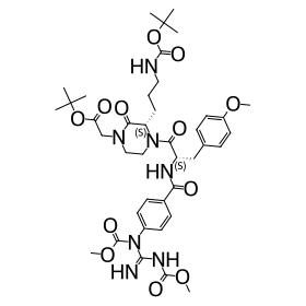 COC(=O)NC(=N)N(C(=O)OC)c1ccc(C(=O)N[C@@H](Cc2ccc(OC)cc2)C(=O)N2CCN(CC(=O)OC(C)(C)C)C(=O)[C@@H]2CCCNC(=O)OC(C)(C)C)cc1